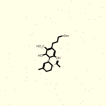 C=C(C)[C@@H]1CCC(C)=C[C@H]1C1C(O)=CC(CCCCCCCCCCCCC)=C(C(=O)O)C1O